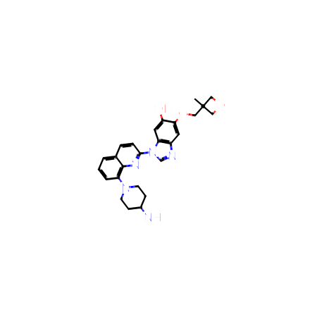 CC1(COc2cc3ncn(-c4ccc5cccc(N6CCC(N)CC6)c5n4)c3cc2O)COC1